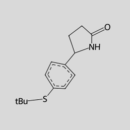 CC(C)(C)Sc1ccc(C2CCC(=O)N2)cc1